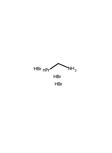 Br.Br.Br.CCCCN